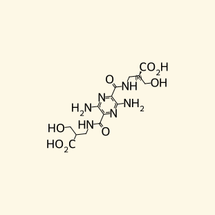 Nc1nc(C(=O)NC[C@H](CO)C(=O)O)c(N)nc1C(=O)NCC(CO)C(=O)O